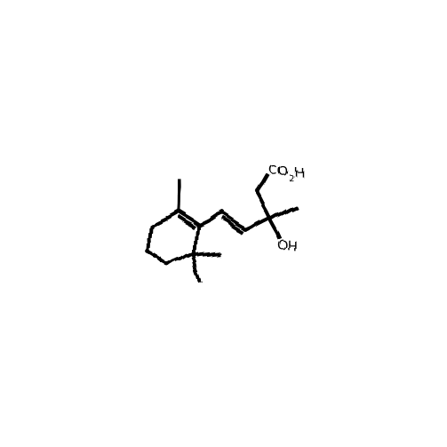 CC1=C(C=CC(C)(O)CC(=O)O)C(C)(C)CCC1